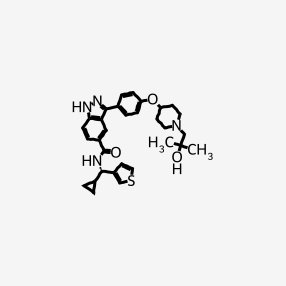 CC(C)(O)CN1CCC(Oc2ccc(-c3n[nH]c4ccc(C(=O)N[C@H](c5ccsc5)C5CC5)cc34)cc2)CC1